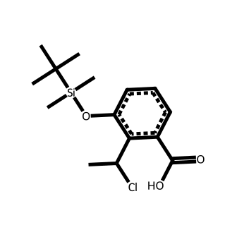 CC(Cl)c1c(O[Si](C)(C)C(C)(C)C)cccc1C(=O)O